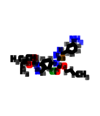 CCCCOC(=O)N(c1nnc(-c2cccc(N)c2)s1)c1ccc2c(cnn2C(=O)OC(C)(C)C)c1Cl